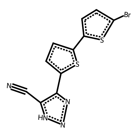 N#Cc1[nH]nnc1-c1ccc(-c2ccc(Br)s2)s1